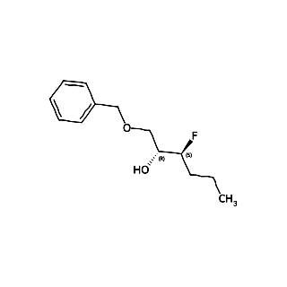 CCC[C@H](F)[C@H](O)COCc1ccccc1